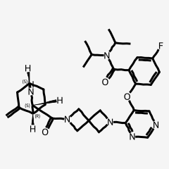 C=C1C[C@@H]2CC[C@H]1[C@@H](C(=O)N1CC3(C1)CN(c1ncncc1Oc1ccc(F)cc1C(=O)N(C(C)C)C(C)C)C3)N2